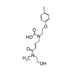 CN(CCO)C(=O)C=CCN(CCOc1ccc(I)cc1)C(=O)O